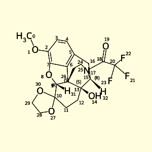 COc1ccc2c3c1O[C@H]1C4(CC[C@@]5(O)[C@@H](C2)N(C(=O)C(F)(F)F)CC[C@]315)OCCO4